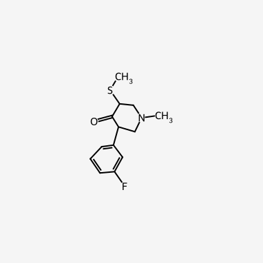 CSC1CN(C)CC(c2cccc(F)c2)C1=O